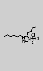 CCCCCCN1N=CN(C(Cl)(Cl)Cl)C1CCCC